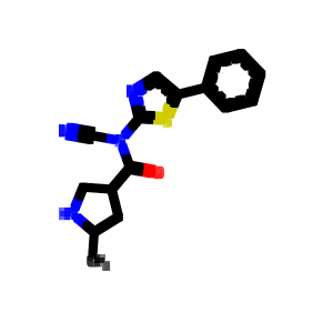 CC1CC(C(=O)N(C#N)c2ncc(-c3ccccc3)s2)CN1